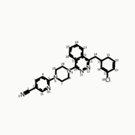 N#Cc1ccc(N2CCN(c3nnc(CC4C=C(Cl)C=CC4)c4ccccc34)CC2)nc1